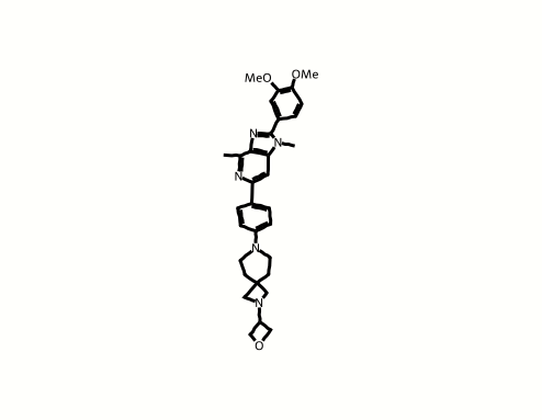 COc1ccc(-c2nc3c(C)nc(-c4ccc(N5CCC6(CC5)CN(C5COC5)C6)cc4)cc3n2C)cc1OC